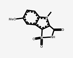 COc1ccc2c(c1)c1c(n2C)C(=O)NS1(=O)=O